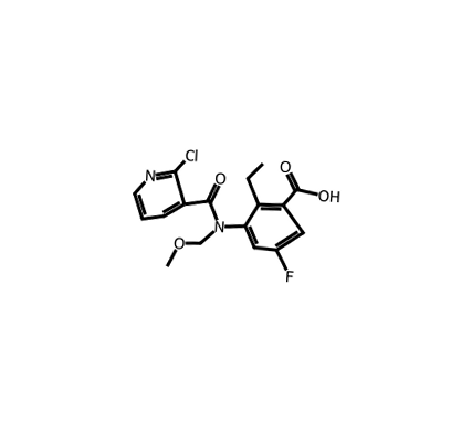 CCc1c(C(=O)O)cc(F)cc1N(COC)C(=O)c1cccnc1Cl